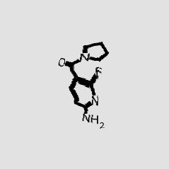 Nc1ccc(C(=O)N2CCCC2)c(F)n1